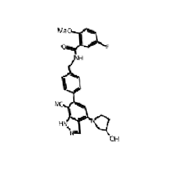 COc1ccc(F)cc1C(=O)NCc1ccc(-c2cc(N3CC[C@@H](O)C3)c3cn[nH]c3c2C#N)cc1